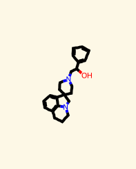 OC(CN1CCC2(CC1)CN1CCCc3cccc2c31)c1ccccc1